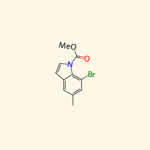 COC(=O)n1ccc2cc(C)cc(Br)c21